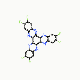 Fc1cc2nc3c4nc5cc(F)c(F)cc5nc4c4nc5cc(F)c(F)cc5nc4c3nc2cc1F